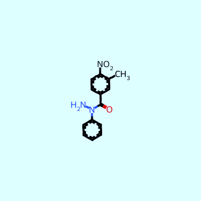 Cc1cc(C(=O)N(N)c2ccccc2)ccc1[N+](=O)[O-]